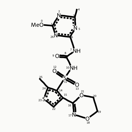 COc1nc(C)nc(NC(=O)NS(=O)(=O)c2c(C3=NOCCO3)csc2C)n1